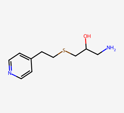 NCC(O)CSCCc1ccncc1